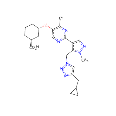 CCc1nc(-c2cnn(C)c2Cn2cc(CC3CC3)nn2)ncc1O[C@H]1CCC[C@H](C(=O)O)C1